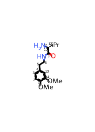 COc1ccc(CCNC(=O)[C@@H](N)C(C)C)cc1OC